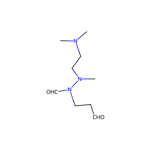 CN(C)CCN(C)N(C=O)CCC=O